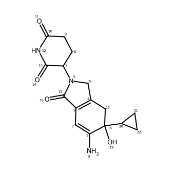 NC1=CC2=C(CN(C3CCC(=O)NC3=O)C2=O)CC1(O)C1CC1